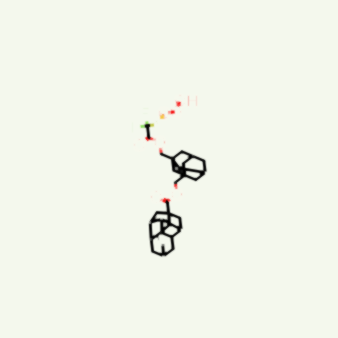 O=C(OCC12CC3CC(C1)CC(COC(=O)C(F)(F)SOOO)(C3)C2)C12CC3C4CC5CC3C(C1)C(C5)C4C2